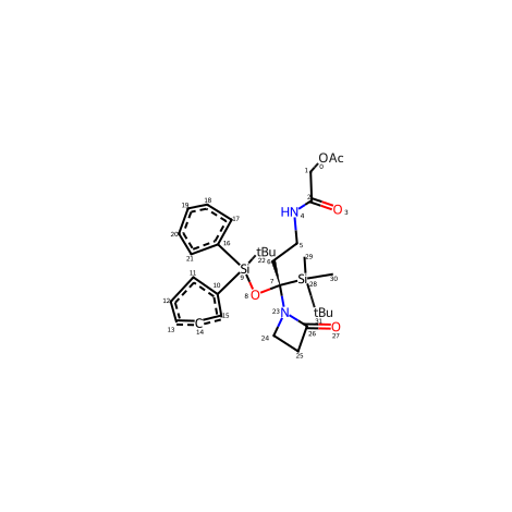 CC(=O)OCC(=O)NCC[C@](O[Si](c1ccccc1)(c1ccccc1)C(C)(C)C)(N1CCC1=O)[Si](C)(C)C(C)(C)C